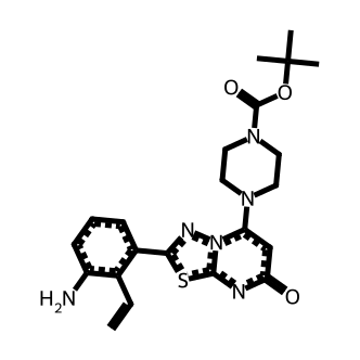 C=Cc1c(N)cccc1-c1nn2c(N3CCN(C(=O)OC(C)(C)C)CC3)cc(=O)nc2s1